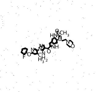 Cc1cc(Oc2ccccc2F)ncc1-n1ncc(C(=O)c2cc3cc(NS(C)(=O)=O)c(OCCN4CCOCC4)cc3[nH]2)c1N